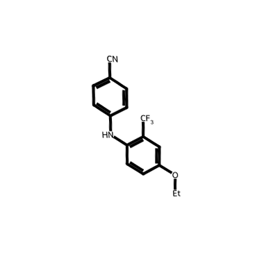 CCOc1ccc(Nc2ccc(C#N)cc2)c(C(F)(F)F)c1